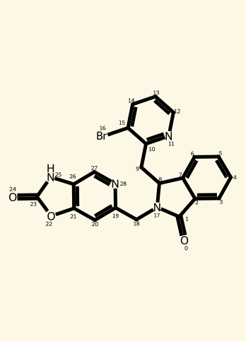 O=C1c2ccccc2C(Cc2ncccc2Br)N1Cc1cc2oc(=O)[nH]c2cn1